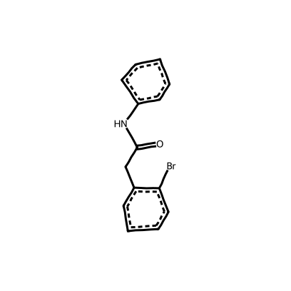 O=C(Cc1ccccc1Br)Nc1ccccc1